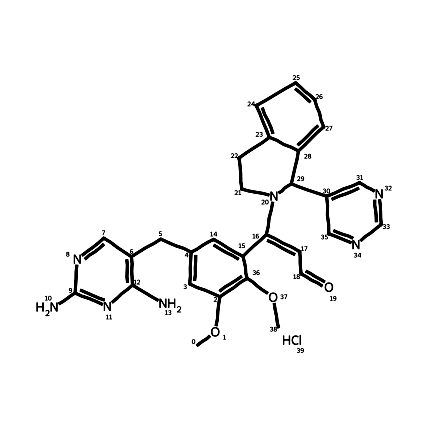 COc1cc(Cc2cnc(N)nc2N)cc(C(=CC=O)N2CCc3ccccc3C2c2cncnc2)c1OC.Cl